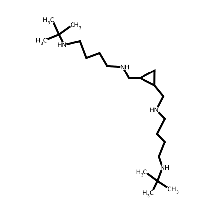 CC(C)(C)NCCCCNCC1CC1CNCCCCNC(C)(C)C